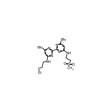 CCSCCNc1cc(C(C)(C)C)nc(-c2nc(NCCS(C)(=O)=O)cc(C(C)(C)C)n2)n1